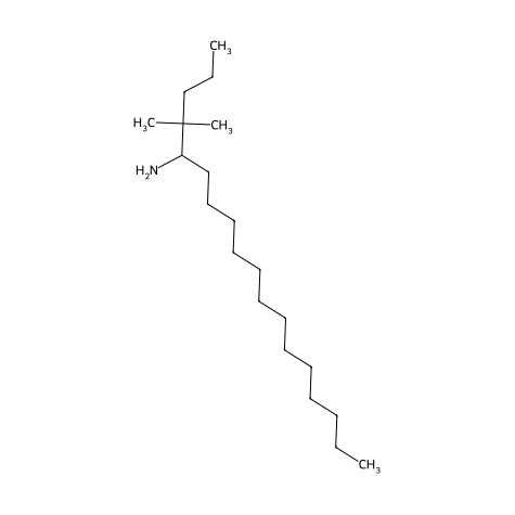 CCCCCCCCCCCCCC(N)C(C)(C)CCC